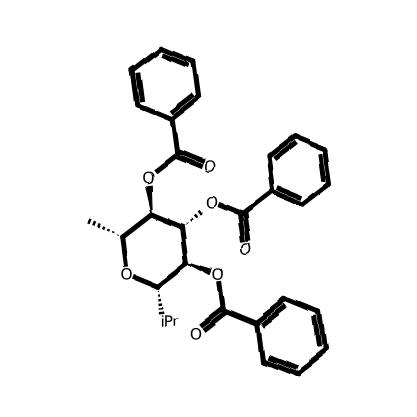 CC(C)[C@@H]1O[C@H](C)[C@@H](OC(=O)c2ccccc2)[C@H](OC(=O)c2ccccc2)[C@H]1OC(=O)c1ccccc1